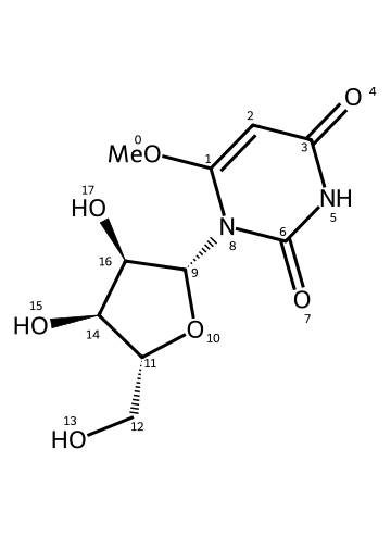 COc1cc(=O)[nH]c(=O)n1[C@@H]1O[C@H](CO)[C@@H](O)[C@H]1O